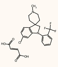 CN1CCC2(CC1)CN(c1ccccc1C(F)(F)F)c1cc(Cl)ccc12.O=C(O)C=CC(=O)O